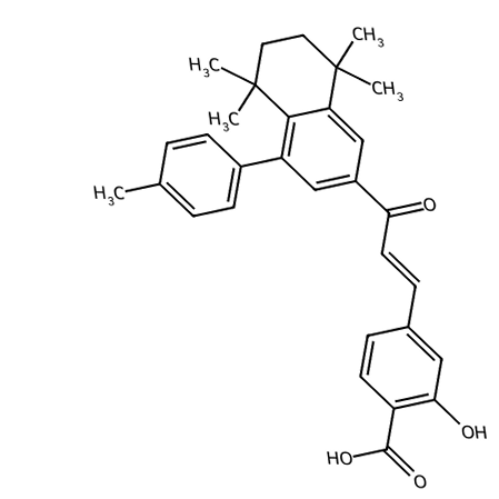 Cc1ccc(-c2cc(C(=O)C=Cc3ccc(C(=O)O)c(O)c3)cc3c2C(C)(C)CCC3(C)C)cc1